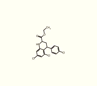 CCOC(=O)C1CC(c2ccc(Cl)cc2)c2c(Cl)cc(Cl)cc2N1